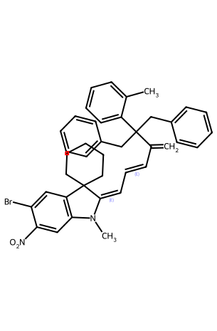 C=C(/C=C/C=C1/N(C)c2cc([N+](=O)[O-])c(Br)cc2C12CCCCC2)C(Cc1ccccc1)(Cc1ccccc1)c1ccccc1C